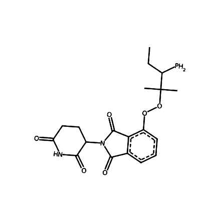 CCC(P)C(C)(C)OOc1cccc2c1C(=O)N(C1CCC(=O)NC1=O)C2=O